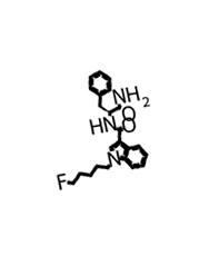 NC(=O)[C@H](Cc1ccccc1)NC(=O)c1cn(CCCCCF)c2ccccc12